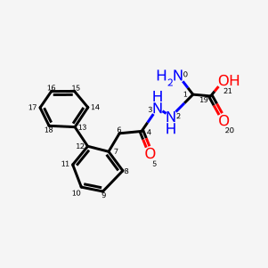 NC(NNC(=O)Cc1ccccc1-c1ccccc1)C(=O)O